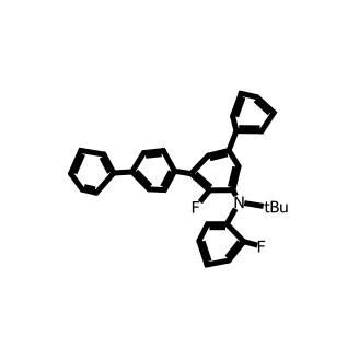 CC(C)(C)N(c1ccccc1F)c1cc(-c2ccccc2)cc(-c2ccc(-c3ccccc3)cc2)c1F